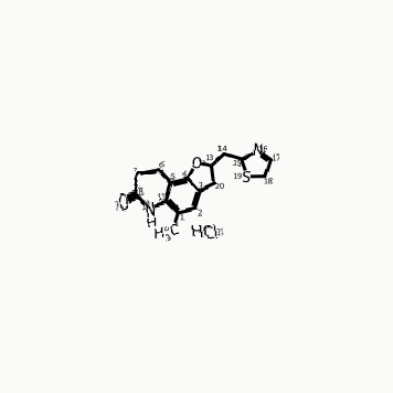 Cc1cc2c(c3ccc(=O)[nH]c13)OC(CC1N=CCS1)C2.Cl